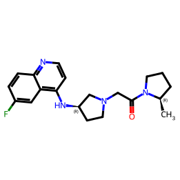 C[C@@H]1CCCN1C(=O)CN1CC[C@@H](Nc2ccnc3ccc(F)cc23)C1